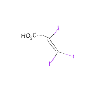 O=C(O)C(I)=C(I)I